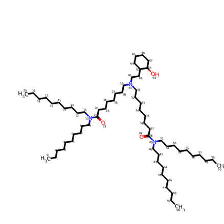 CCCCCCCCCCN(CCCCCCCCCC)C(=O)CCCCCCCN(CCCCCCCC(=O)N(CCCCCCCCCC)CCCCCCCCCC)CCC1CCCCC1O